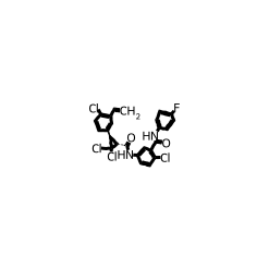 C=Cc1cc([C@H]2[C@H](C(=O)Nc3ccc(Cl)c(C(=O)Nc4ccc(F)cc4)c3)C2(Cl)Cl)ccc1Cl